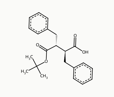 CC(C)(C)OC(=O)[C@H](Cc1ccccc1)[C@H](Cc1ccccc1)C(=O)O